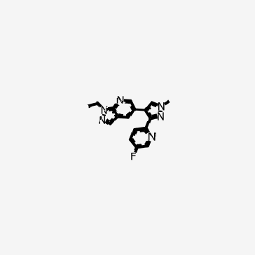 CCn1ncc2cc(-c3cn(C)nc3-c3ccc(F)cn3)cnc21